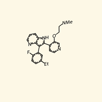 CCc1ccc(F)c(-c2c(-c3ccncc3OCCNC)[nH]c3cccnc23)c1